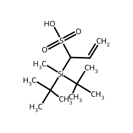 C=C[C]([Si](C)(C(C)(C)C)C(C)(C)C)S(=O)(=O)O